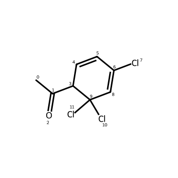 CC(=O)C1C=CC(Cl)=CC1(Cl)Cl